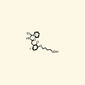 CCCCCCCCCCCCCCOc1cccc(CC(=O)NC(CC)[n+]2ccccc2)c1Cl.[I-]